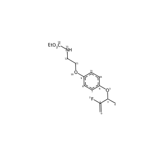 C=C(F)C(C)Oc1ccc(OCCNC(=O)OCC)cc1